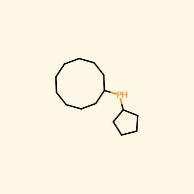 C1CCCCC(PC2CCCC2)CCCC1